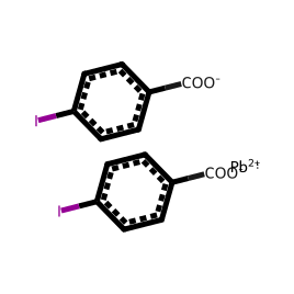 O=C([O-])c1ccc(I)cc1.O=C([O-])c1ccc(I)cc1.[Pb+2]